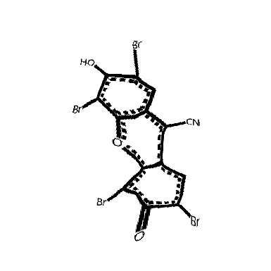 N#Cc1c2cc(Br)c(=O)c(Br)c-2oc2c(Br)c(O)c(Br)cc12